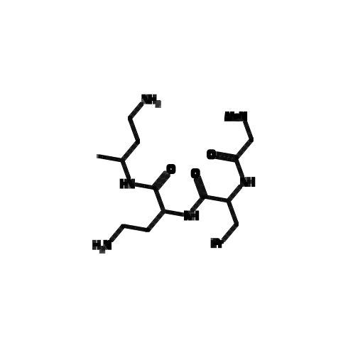 CNCC(=O)NC(CC(C)C)C(=O)NC(CCN)C(=O)NC(C)CCN